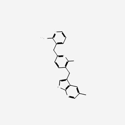 COc1ncccc1[CH]c1ccc(Cc2c[nH]c3ncc(C)cc23)c(Cl)n1